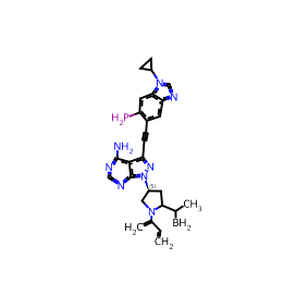 BC(C)C1C[C@H](n2nc(C#Cc3cc4ncn(C5CC5)c4cc3P)c3c(N)ncnc32)CN1C(=C)C=C